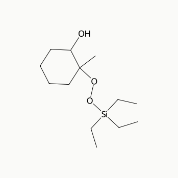 CC[Si](CC)(CC)OOC1(C)CCCCC1O